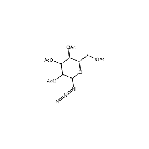 CC(=O)OCC1OC(N=[N+]=[N-])C(OC(C)=O)C(OC(C)=O)C1OC(C)=O